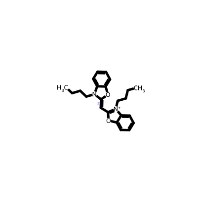 CCCCN1/C(=C/c2oc3ccccc3[n+]2CCCC)Oc2ccccc21